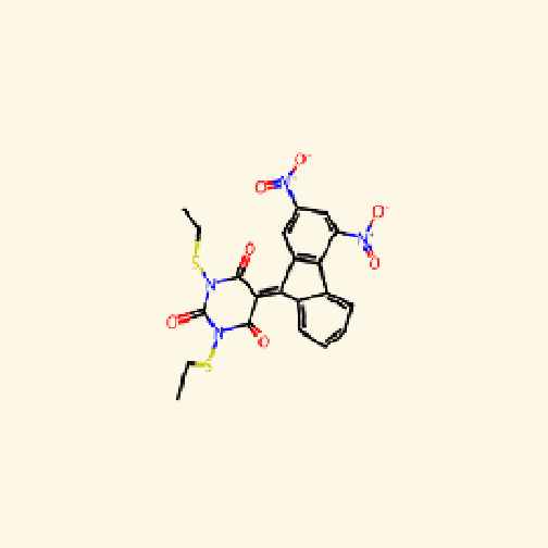 CCSN1C(=O)C(=C2c3ccccc3-c3c2cc([N+](=O)[O-])cc3[N+](=O)[O-])C(=O)N(SCC)C1=O